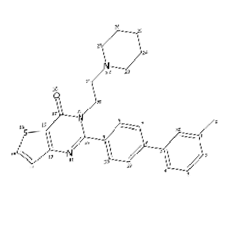 Cc1cccc(-c2ccc(-c3nc4ccsc4c(=O)n3CCN3CCCCC3)cc2)c1